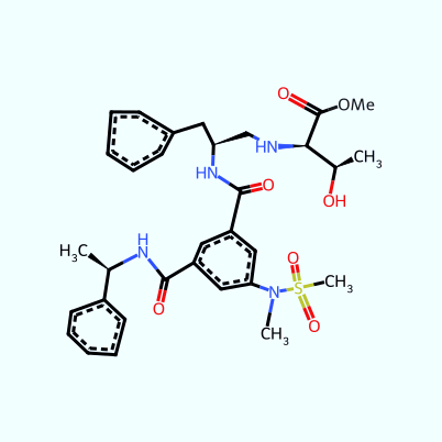 COC(=O)[C@H](NC[C@H](Cc1ccccc1)NC(=O)c1cc(C(=O)N[C@H](C)c2ccccc2)cc(N(C)S(C)(=O)=O)c1)[C@@H](C)O